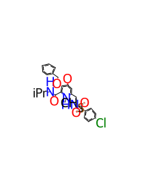 CC(C)NC(=O)c1c(OCc2ccccc2)c(=O)cc(CNS(=O)(=O)c2ccc(Cl)cc2)n1C